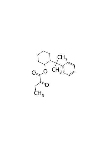 CCC(=O)C(=O)OC1CCCCC1C(C)(C)c1ccccc1